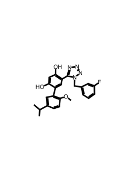 COc1ccc(C(C)C)cc1-c1cc(-c2nnnn2Cc2cccc(F)c2)c(O)cc1O